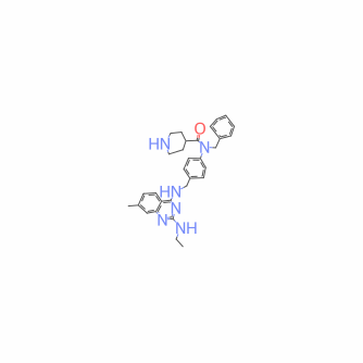 CCNc1nc(NCc2ccc(N(Cc3ccccc3)C(=O)C3CCNCC3)cc2)c2ccc(C)cc2n1